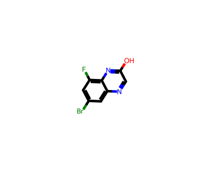 Oc1cnc2cc(Br)cc(F)c2n1